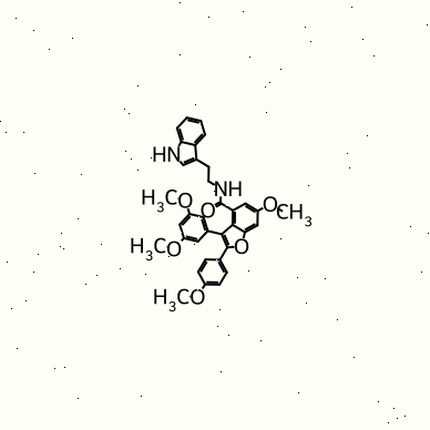 COc1ccc(-c2oc3cc(OC)cc(C(=O)NCCc4c[nH]c5ccccc45)c3c2-c2cc(OC)cc(OC)c2)cc1